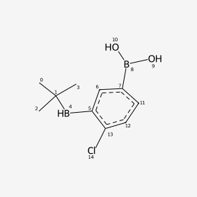 CC(C)(C)Bc1cc(B(O)O)ccc1Cl